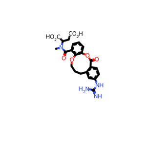 CN(C(=O)c1cccc2c1OCCCc1cc(NC(=N)N)ccc1C(=O)O2)C(CC(=O)O)C(=O)O